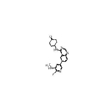 CNc1cc(-c2ccc3ncnc(NC4CCC(=O)CC4)c3c2)cnc1F